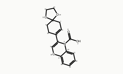 O=C(O)N1C(C2=CCC3(CC2)OCCO3)=COc2ccccc21